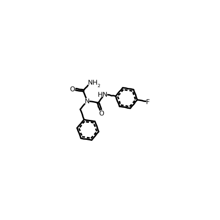 NC(=O)N(Cc1ccccc1)C(=O)Nc1ccc(F)cc1